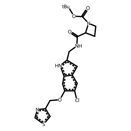 CC(C)(C)OC(=O)N1CCC1C(=O)NCc1cc2cc(Cl)c(OCc3cscn3)cc2[nH]1